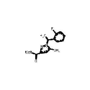 CNC(=O)c1cc(C)n(C(C)c2ccccc2F)n1